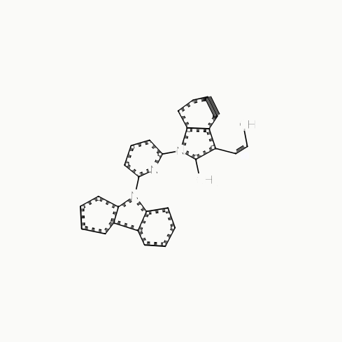 C/C=C\c1c(C)n(-c2cccc(-n3c4ccccc4c4ccccc43)n2)c2ccc#cc12